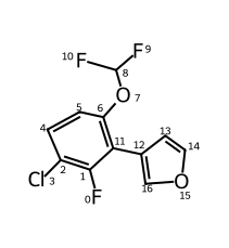 Fc1c(Cl)ccc(OC(F)F)c1-c1ccoc1